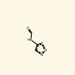 O=[C]Nc1cnns1